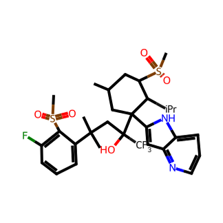 CC1CC(S(C)(=O)=O)C(C(C)C)C(c2cc3ncccc3[nH]2)(C(O)(CC(C)(C)c2cccc(F)c2S(C)(=O)=O)C(F)(F)F)C1